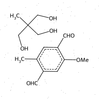 CC(CO)(CO)CO.COc1cc(C=O)c(C)cc1C=O